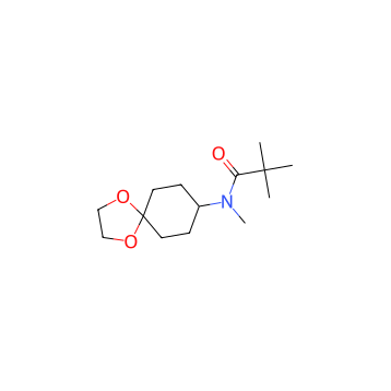 CN(C(=O)C(C)(C)C)C1CCC2(CC1)OCCO2